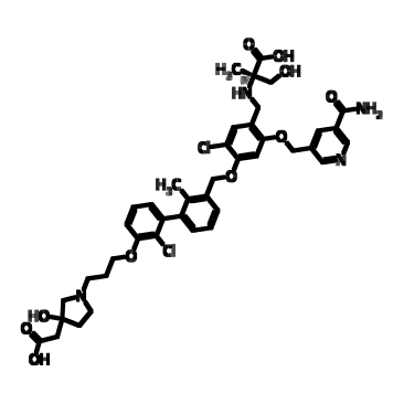 Cc1c(COc2cc(OCc3cncc(C(N)=O)c3)c(CN[C@@](C)(CO)C(=O)O)cc2Cl)cccc1-c1cccc(OCCCN2CCC(O)(CC(=O)O)C2)c1Cl